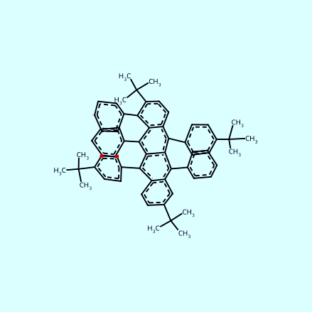 CC(C)(C)c1ccc(-c2c3ccc(C(C)(C)C)cc3c(-c3ccccc3)c3c(-c4ccc(C(C)(C)C)cc4)c4ccc(C(C)(C)C)c(-c5cc[c]cc5)c4c(-c4ccccc4)c23)cc1